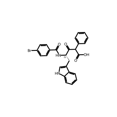 O=C(N[C@@H](Cc1c[nH]c2ccccc12)C(=O)C(C(=O)O)c1ccccc1)c1ccc(Br)cc1